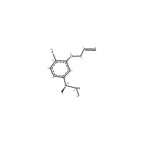 C=CCOc1cc([C@H](C)NC)ccc1F